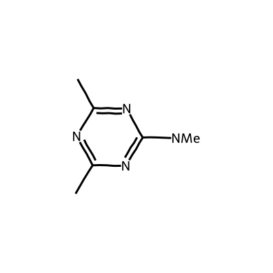 CNc1nc(C)nc(C)n1